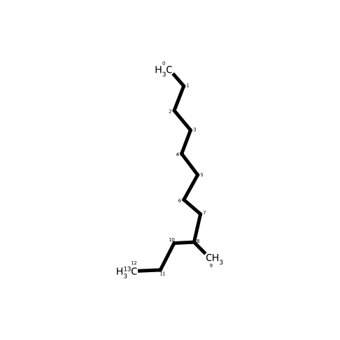 CCCCCCCCC(C)CC[13CH3]